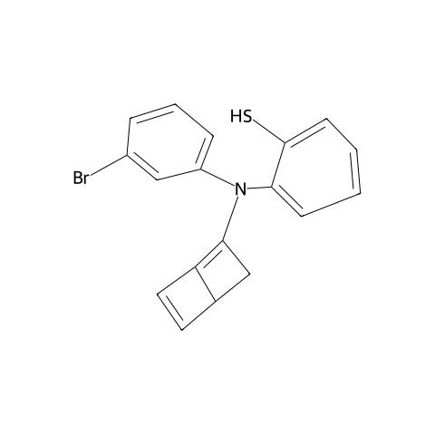 Sc1ccccc1N(C1=C2C=CC2C1)c1cccc(Br)c1